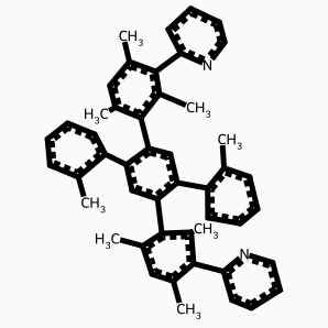 Cc1ccccc1-c1cc(-c2c(C)cc(C)c(-c3ccccn3)c2C)c(-c2ccccc2C)cc1-c1c(C)cc(C)c(-c2ccccn2)c1C